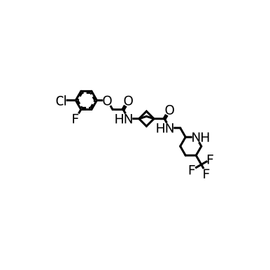 O=C(COc1ccc(Cl)c(F)c1)NC12CC(C(=O)NCC3CCC(C(F)(F)F)CN3)(C1)C2